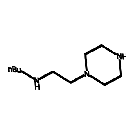 CCCCNCCN1CCNCC1